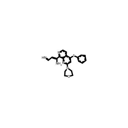 N=C/C=C(\N)c1nccc2c(Sc3ccccc3)cc(N3CCOCC3)nc12